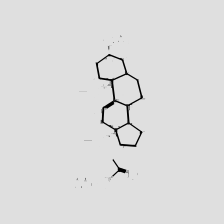 COC(=O)C[C@H]1CCC2C3CCC4C[C@H](OC(C)=O)CC[C@]4(C)C3=CC[C@@]21C